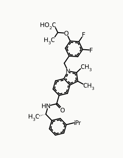 Cc1c(C)n(Cc2cc(F)c(F)c(OC(C)C(=O)O)c2)c2ccc(C(=O)N[C@@H](C)c3cccc(C(C)C)c3)cc12